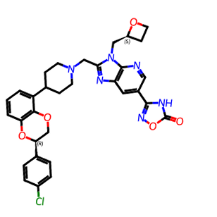 O=c1[nH]c(-c2cnc3c(c2)nc(CN2CCC(c4cccc5c4OC[C@@H](c4ccc(Cl)cc4)O5)CC2)n3C[C@@H]2CCO2)no1